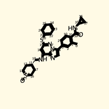 Cc1cc(-c2cnc3c(NC[C@H]4CC[S@+]([O-])CC4)cc(Sc4ccccc4)nn23)ccc1C(=O)NC1CC1